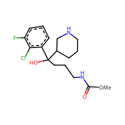 COC(=O)NCCCC(O)(c1cccc(F)c1Cl)C1CCCNC1